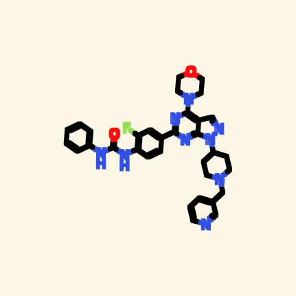 O=C(Nc1ccccc1)Nc1ccc(-c2nc(N3CCOCC3)c3cnn(C4CCN(Cc5cccnc5)CC4)c3n2)cc1F